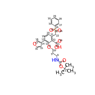 CC(C)(C)OC(=O)NCCCOc1c(-c2ccoc2)ccc(CS(=O)(=O)c2ccccc2)c1C(=O)O